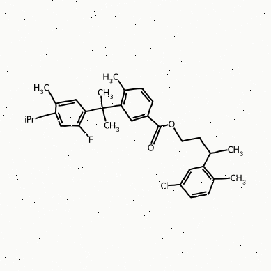 Cc1cc(C(C)(C)c2cc(C(=O)OCCC(C)c3cc(Cl)ccc3C)ccc2C)c(F)cc1C(C)C